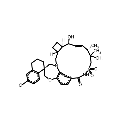 C[C@H]1/C=C/[C@H](O)[C@@H]2CC[C@H]2CN2C[C@@]3(CCCc4cc(Cl)ccc43)COc3ccc(cc32)C(=O)NS(=O)(=O)CC1(C)C